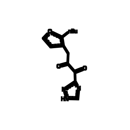 CCCCc1occc1CC(=O)C(=O)c1nc[nH]n1